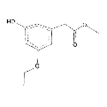 CCOc1cc(O)cc(CC(=O)OC)c1